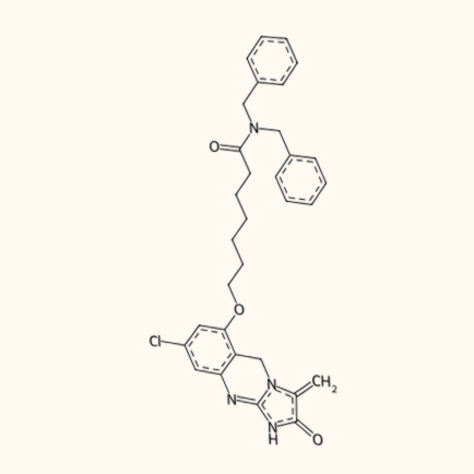 C=c1c(=O)[nH]c2n1Cc1c(cc(Cl)cc1OCCCCCCC(=O)N(Cc1ccccc1)Cc1ccccc1)N=2